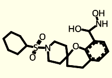 O=S(=O)(C1CCCCC1)N1CCC2(CCc3cccc(C(O)NO)c3O2)CC1